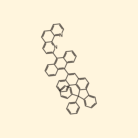 c1ccc(C2(c3ccccc3)c3ccccc3-c3ccc4cc(-c5c6ccccc6c(-c6ccc7ccc8cccnc8c7n6)c6ccccc56)c5ccccc5c4c32)cc1